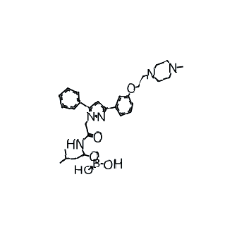 CC(C)CC(NC(=O)Cn1nc(-c2cccc(OCCN3CCN(C)CC3)c2)cc1-c1ccccc1)OB(O)O